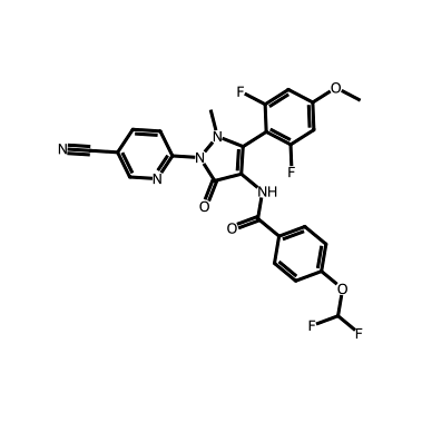 COc1cc(F)c(-c2c(NC(=O)c3ccc(OC(F)F)cc3)c(=O)n(-c3ccc(C#N)cn3)n2C)c(F)c1